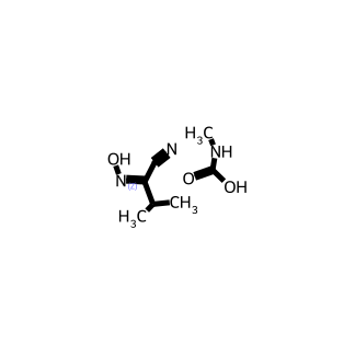 CC(C)/C(C#N)=N/O.CNC(=O)O